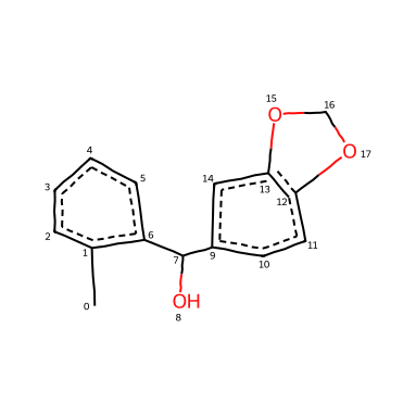 Cc1ccccc1C(O)c1ccc2c(c1)OCO2